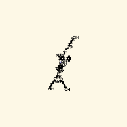 COc1cc(S(=O)(=O)CCN(CCOC(=O)CCCCCO)CCOC(=O)CCCCCO)c(OC)cc1/N=N/c1c(Nc2ccccc2)nc(NCCOCCOC(=O)CCCCCO)c(C#N)c1C